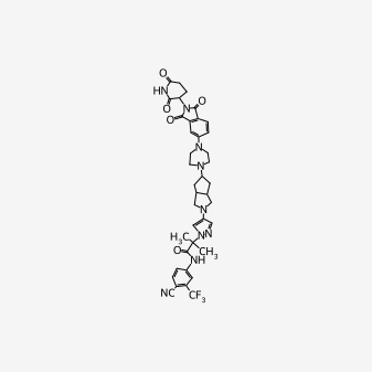 CC(C)(C(=O)Nc1ccc(C#N)c(C(F)(F)F)c1)n1cc(N2CC3CC(N4CCN(c5ccc6c(c5)C(=O)N(C5CCC(=O)NC5=O)C6=O)CC4)CC3C2)cn1